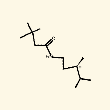 CC(C)[C@H](C)CCNC(=O)CC(C)(C)C